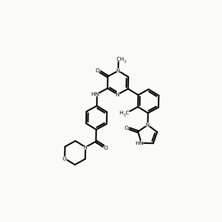 Cc1c(-c2cn(C)c(=O)c(Nc3ccc(C(=O)N4CCOCC4)cc3)n2)cccc1-n1cc[nH]c1=O